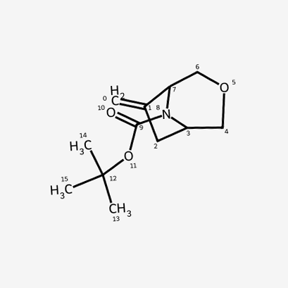 C=C1CC2COCC1N2C(=O)OC(C)(C)C